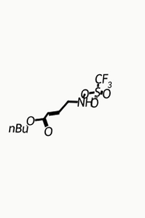 CCCCOC(=O)C=CCNOS(=O)(=O)C(F)(F)F